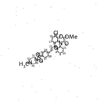 COC(=O)C(=O)N(c1ccccc1)c1cc(Cl)ccc1C(=O)CCc1ccc(S(=O)(=O)N2CCN(C)CC2)cc1